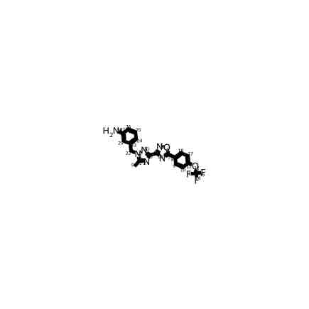 Cc1nc(-c2noc(-c3ccc(OC(F)(F)F)cc3)n2)nn1Cc1cccc(N)c1